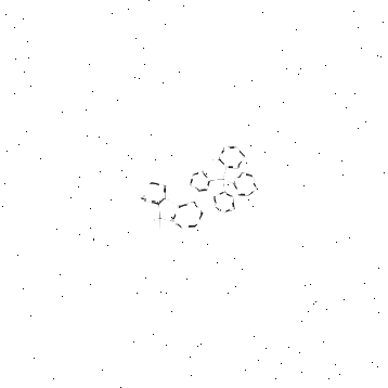 CC1(C)c2ccccc2-c2c(-c3ccc4c(c3)C(c3ccccc3)(c3ccccc3)c3ccccc3O4)cccc21